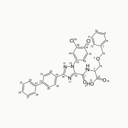 O=C(NC(COCc1ccccc1)C(=O)O)c1nc(-c2ccc(-c3ccccc3)cc2)nn1-c1ccc(Cl)c(Cl)c1